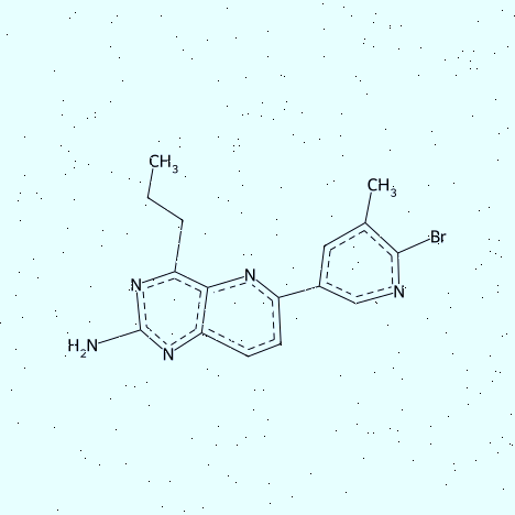 CCCc1nc(N)nc2ccc(-c3cnc(Br)c(C)c3)nc12